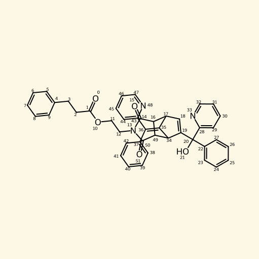 O=C(CCc1ccccc1)OCCN1C(=O)C2C3C=C(C(O)(c4ccccc4)c4ccccn4)C(C3=C(c3ccccc3)c3ccccn3)C2C1=O